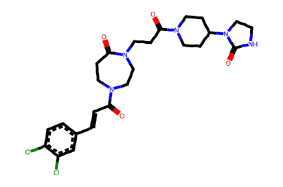 O=C(C=Cc1ccc(Cl)c(Cl)c1)N1CCC(=O)N(CCC(=O)N2CCC(N3CCNC3=O)CC2)CC1